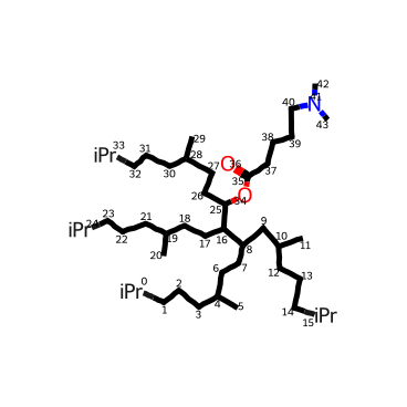 CC(C)CCCC(C)CCC(CC(C)CCCC(C)C)C(CCC(C)CCCC(C)C)C(CCC(C)CCCC(C)C)OC(=O)CCCCN(C)C